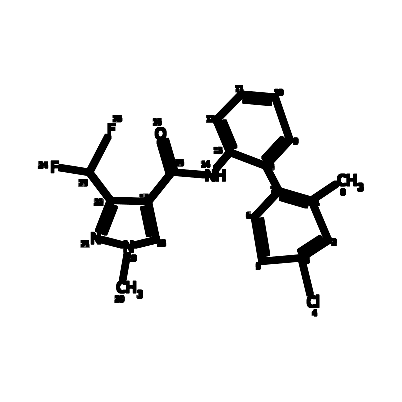 Cc1cc(Cl)ccc1-c1ccccc1NC(=O)c1cn(C)nc1C(F)F